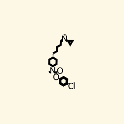 CN(CCCCC[C@H]1CC[C@H](N(C)C(=O)Oc2ccc(Cl)cc2)CC1)C1CC1